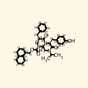 CC(C)N1C[C@@H]2N(C(=O)OCc3cccc4ccccc34)O[C@@H](Cc3ccccc3)C(=O)N2[C@@H](Cc2ccc(O)cc2)C1=O